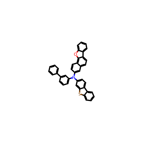 c1ccc(-c2cccc(N(c3ccc4c(ccc5c6ccccc6oc45)c3)c3ccc4c(c3)sc3ccccc34)c2)cc1